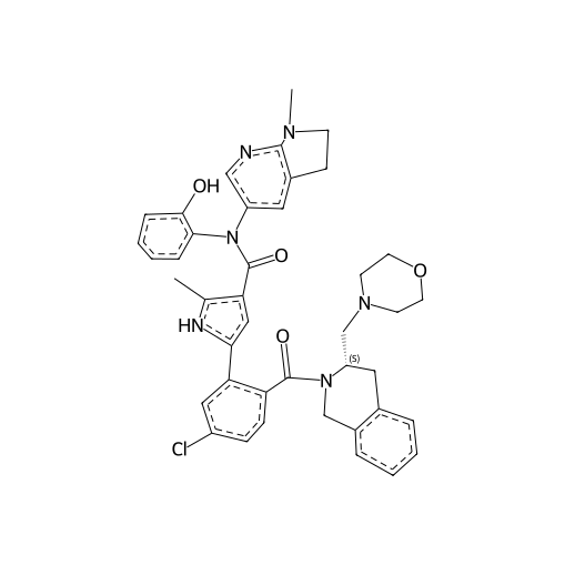 Cc1[nH]c(-c2cc(Cl)ccc2C(=O)N2Cc3ccccc3C[C@H]2CN2CCOCC2)cc1C(=O)N(c1cnc2c(c1)CCN2C)c1ccccc1O